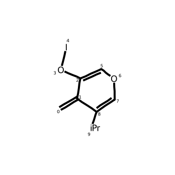 C=C1C(OI)=COC=C1C(C)C